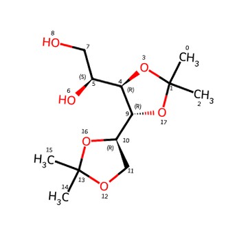 CC1(C)O[C@H]([C@@H](O)CO)[C@@H]([C@H]2COC(C)(C)O2)O1